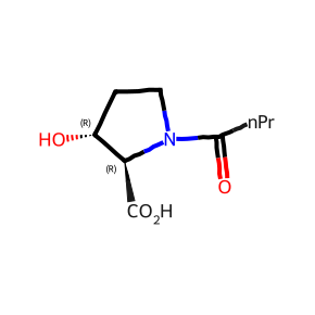 CCCC(=O)N1CC[C@@H](O)[C@@H]1C(=O)O